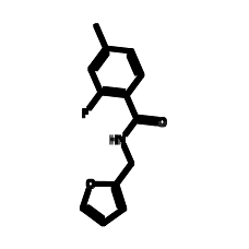 Cc1ccc(C(=O)NCc2ccco2)c(F)c1